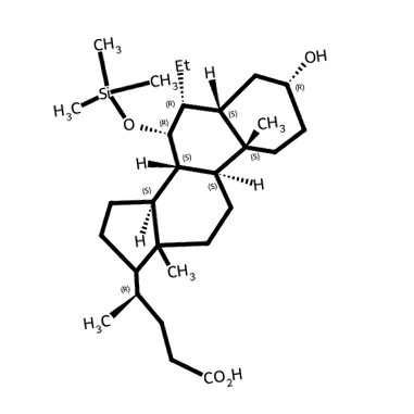 CC[C@H]1[C@@H](O[Si](C)(C)C)[C@H]2[C@@H]3CCC([C@H](C)CCC(=O)O)C3(C)CC[C@@H]2[C@@]2(C)CC[C@@H](O)C[C@@H]12